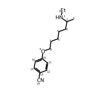 CCNC(C)CCCCCOc1ccc(C#N)cc1